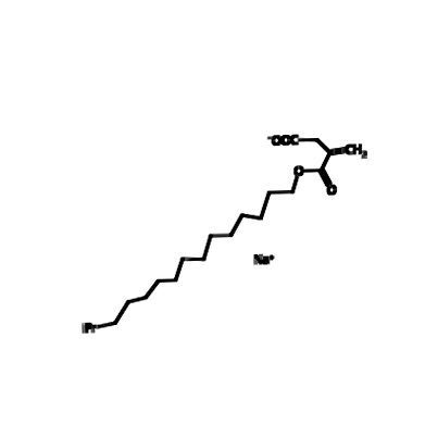 C=C(CC(=O)[O-])C(=O)OCCCCCCCCCCCCCC(C)C.[Na+]